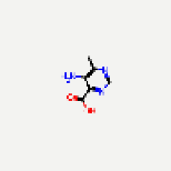 Cc1ncnc(C(=O)O)c1N